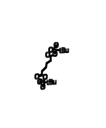 CC(C)(C)S(=O)(=O)OC(=O)CCCCC(=O)OS(=O)(=O)C(C)(C)C